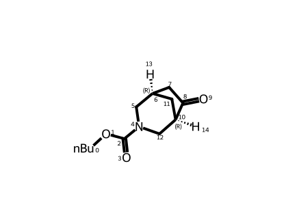 CCCCOC(=O)N1C[C@H]2CC(=O)[C@H](C2)C1